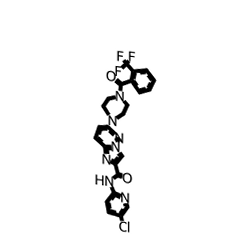 O=C(Nc1ccc(Cl)cn1)c1cn2nc(N3CCN(C(=O)c4ccccc4C(F)(F)F)CC3)ccc2n1